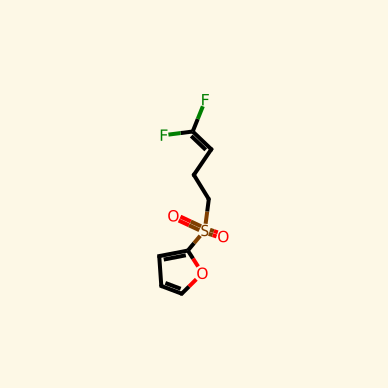 O=S(=O)(CCC=C(F)F)c1ccco1